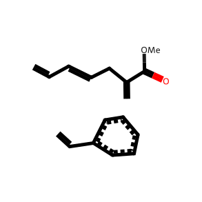 C=CC=CCC(=C)C(=O)OC.C=Cc1ccccc1